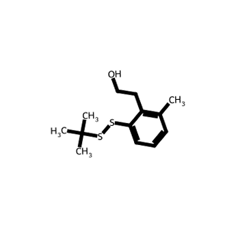 Cc1cccc(SSC(C)(C)C)c1CCO